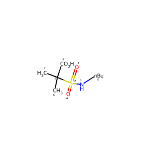 CCCCNS(=O)(=O)C(C)(C)C(=O)O